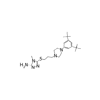 Cn1c(N)nnc1SCCCN1CCN(c2cc(C(C)(C)C)cc(C(C)(C)C)c2)CC1